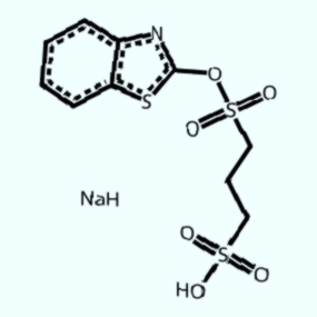 O=S(=O)(O)CCCS(=O)(=O)Oc1nc2ccccc2s1.[NaH]